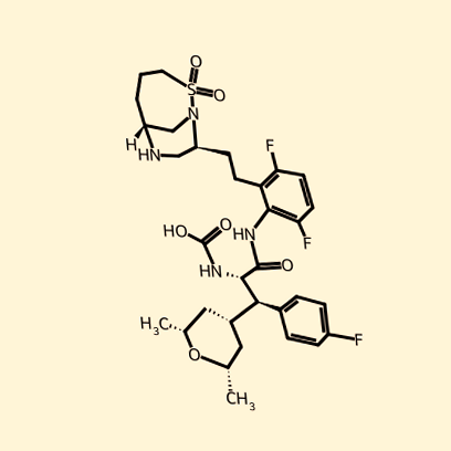 C[C@@H]1C[C@H]([C@H](c2ccc(F)cc2)[C@H](NC(=O)O)C(=O)Nc2c(F)ccc(F)c2CC[C@H]2CN[C@@H]3CCCS(=O)(=O)N2C3)C[C@H](C)O1